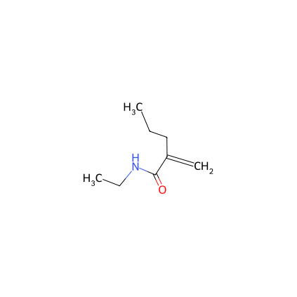 C=C(CCC)C(=O)NCC